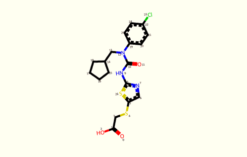 O=C(O)CSc1cnc(NC(=O)N(CC2CCCC2)c2ccc(Cl)cc2)s1